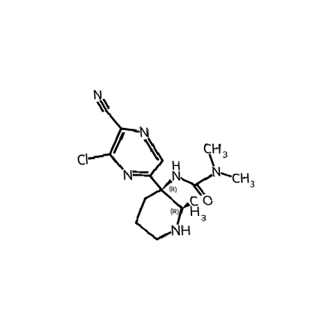 C[C@H]1NCCC[C@]1(NC(=O)N(C)C)c1cnc(C#N)c(Cl)n1